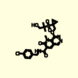 Cn1c(=O)c(C(=O)NCc2ccc(Cl)cc2)cc2cnnc(OCC3(S(=O)(=O)C(C)(C)CO)CC3)c21